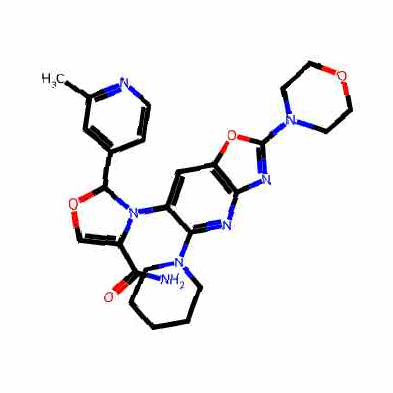 Cc1cc(C2OC=C(C(N)=O)N2c2cc3oc(N4CCOCC4)nc3nc2N2CCCCC2)ccn1